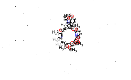 CCC1/C=C(\C)CC(C)CC(OC)C2OC(O)(C(=O)C(=O)N3CCCCC3C(=O)OC(C(C)=CC3(N(C)c4ccco4)CCCC(OC)C3)C(C)CCC1=O)C(C)CC2OC